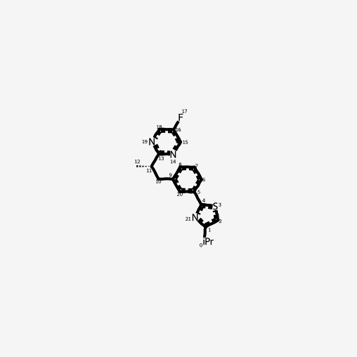 CC(C)c1csc(-c2cccc(C[C@H](C)c3ncc(F)cn3)c2)n1